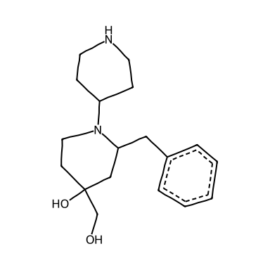 OCC1(O)CCN(C2CCNCC2)C(Cc2ccccc2)C1